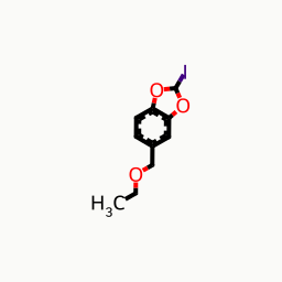 CCOCc1ccc2c(c1)OC(I)O2